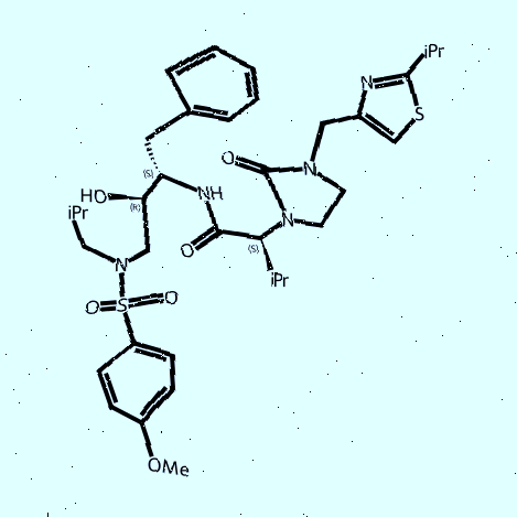 COc1ccc(S(=O)(=O)N(CC(C)C)C[C@@H](O)[C@H](Cc2ccccc2)NC(=O)[C@H](C(C)C)N2CCN(Cc3csc(C(C)C)n3)C2=O)cc1